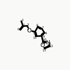 C=C(C)COc1cccc(-c2ncco2)c1